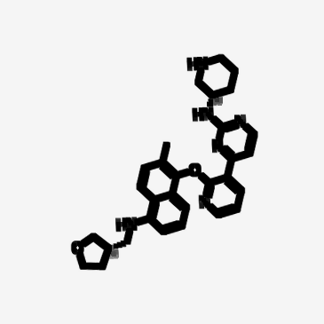 Cc1ccc2c(NC[C@@H]3CCOC3)cccc2c1Oc1ncccc1-c1ccnc(N[C@H]2CCCNC2)n1